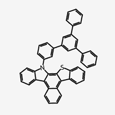 c1ccc(-c2cc(-c3ccccc3)cc(-c3cccc(-n4c5ccccc5c5c6ccccc6c6c7ccccc7sc6c54)c3)c2)cc1